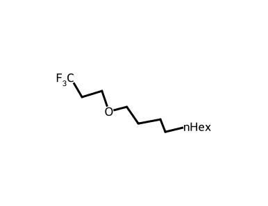 CCCCCCCCCCOCCC(F)(F)F